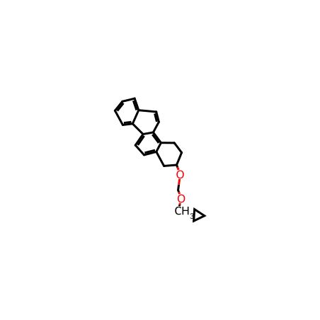 C1CC1.COCOC1CCc2c(ccc3c2ccc2ccccc23)C1